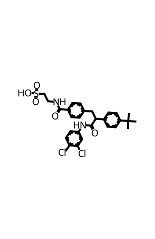 CC(C)(C)c1ccc(C(Cc2ccc(C(=O)NCCS(=O)(=O)O)cc2)C(=O)Nc2ccc(Cl)c(Cl)c2)cc1